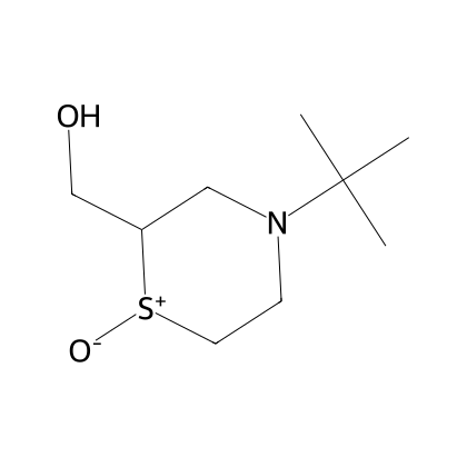 CC(C)(C)N1CC[S+]([O-])C(CO)C1